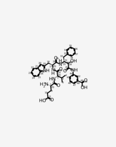 CC(C)[C@H](NC(=O)[C@@H](N)CCC(=O)O)C(=O)N[C@@H](Cc1cc2ccccc2[nH]1)C(=O)N[C@@H](Cc1ccccc1)[C@@H](O)C(=O)Nc1cccc(C(=O)O)c1